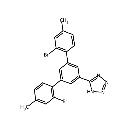 Cc1ccc(-c2cc(-c3nnn[nH]3)cc(-c3ccc(C)cc3Br)c2)c(Br)c1